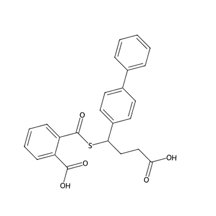 O=C(O)CCC(SC(=O)c1ccccc1C(=O)O)c1ccc(-c2ccccc2)cc1